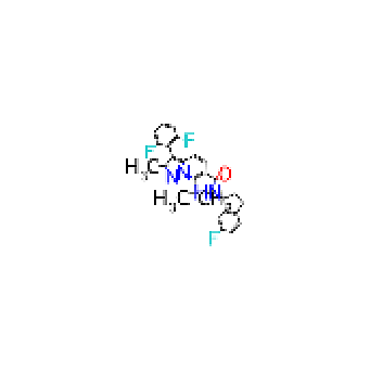 Cc1nn2c(C(C)C)c(C(=O)NC3CCc4ccc(F)cc43)ccc2c1-c1c(F)cccc1F